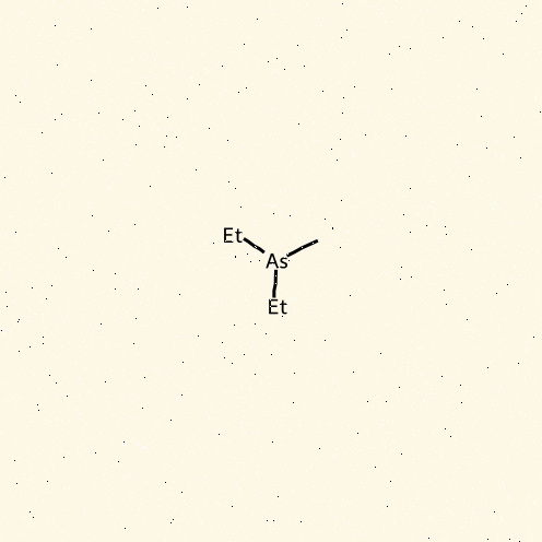 CC[As](C)CC